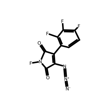 [N-]=[N+]=NC1=C(c2ccc(F)c(F)c2F)C(=O)N(F)C1=O